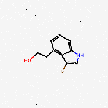 OCCc1cccc2[nH]cc(S)c12